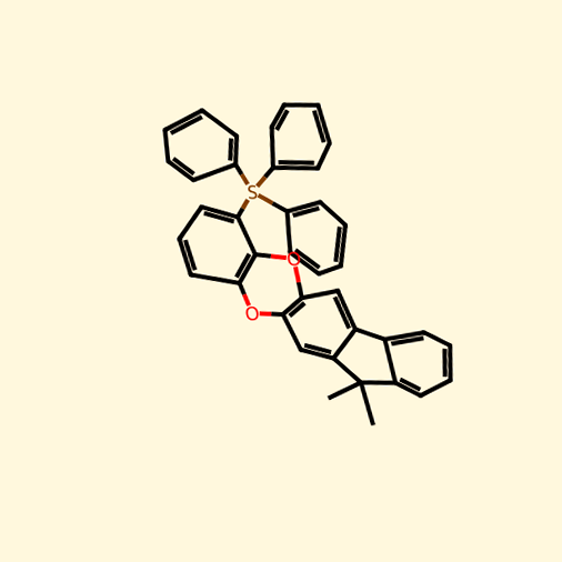 CC1(C)c2ccccc2-c2cc3c(cc21)Oc1cccc(S(c2ccccc2)(c2ccccc2)c2ccccc2)c1O3